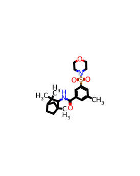 Cc1cc(C(=O)NC2C3(C)CCC(C3)C2(C)C)cc(S(=O)(=O)N2CCOCC2)c1